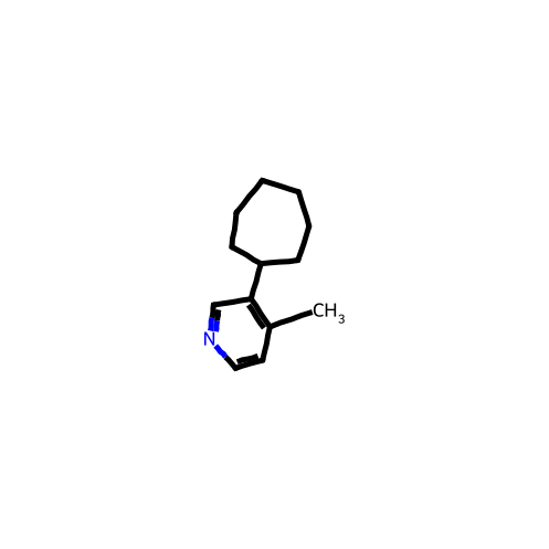 Cc1ccncc1C1CCCCCC1